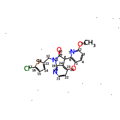 COc1ccc2c(n1)C1C(=O)N(Cc3ccc(Cl)s3)c3nccc(c31)O2